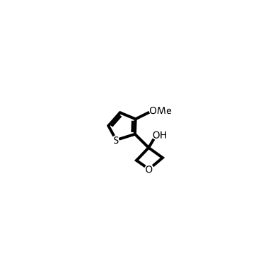 COc1ccsc1C1(O)COC1